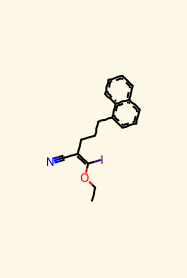 CCOC(I)=C(C#N)CCCc1cccc2ccccc12